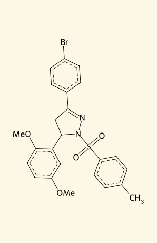 COc1ccc(OC)c(C2CC(c3ccc(Br)cc3)=NN2S(=O)(=O)c2ccc(C)cc2)c1